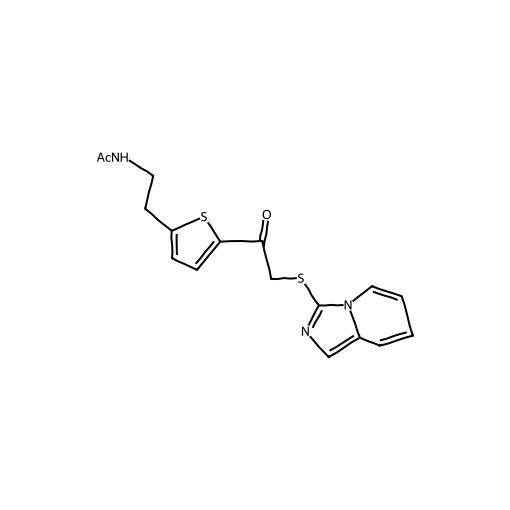 CC(=O)NCCc1ccc(C(=O)CSc2ncc3ccccn23)s1